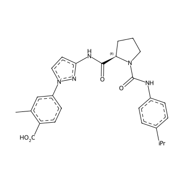 Cc1cc(-n2ccc(NC(=O)[C@H]3CCCN3C(=O)Nc3ccc(C(C)C)cc3)n2)ccc1C(=O)O